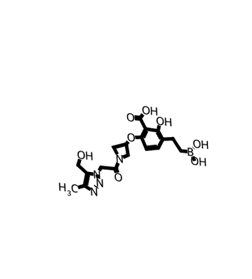 Cc1nnn(CC(=O)N2CC(Oc3ccc(CCB(O)O)c(O)c3C(=O)O)C2)c1CO